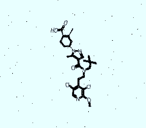 COc1ncc(Cl)c(CCN(CC(C)(C)C)C(=O)c2cnn([C@@H]3CC[C@@H](C(=O)O)[C@@H](C)C3)c2C)c1Cl